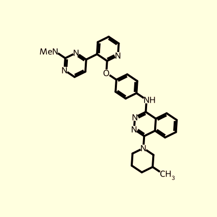 CNc1nccc(-c2cccnc2Oc2ccc(Nc3nnc(N4CCCC(C)C4)c4ccccc34)cc2)n1